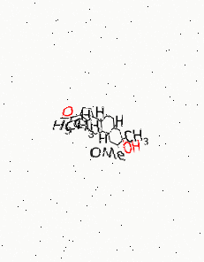 CO[C@@H]1C[C@H]2[C@H](CC[C@@H]3[C@@H]2CC[C@]2(C)[C@@H](C4(C)CO4)CC[C@@H]32)C[C@]1(C)O